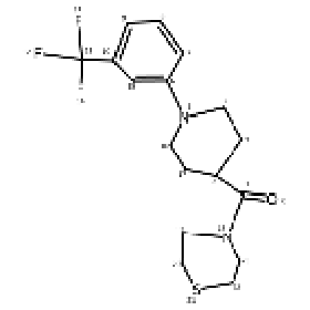 O=C(C1CCN(c2cccc(C(F)(F)F)c2)CC1)N1CCSCC1